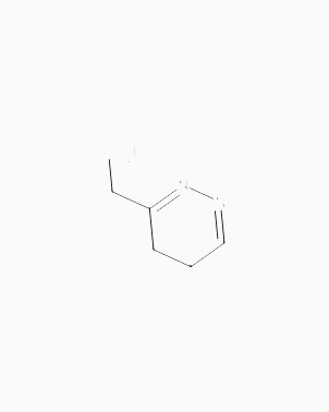 O=C(O)CC1=NN=CCC1